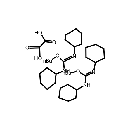 CCCCOC(=NC1CCCCC1)NC1CCCCC1.CCCCOC(=NC1CCCCC1)NC1CCCCC1.O=C(O)C(=O)O